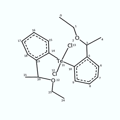 CCOC(C)c1ccccc1[Te](Cl)(Cl)c1ccccc1C(C)OCC